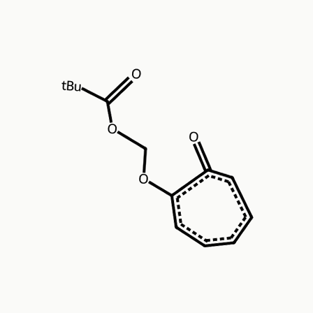 CC(C)(C)C(=O)OCOc1cccccc1=O